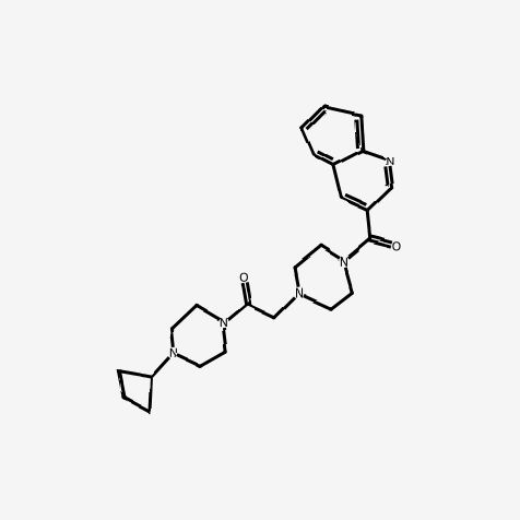 O=C(CN1CCN(C(=O)c2cnc3ccccc3c2)CC1)N1CCN(C2CCC2)CC1